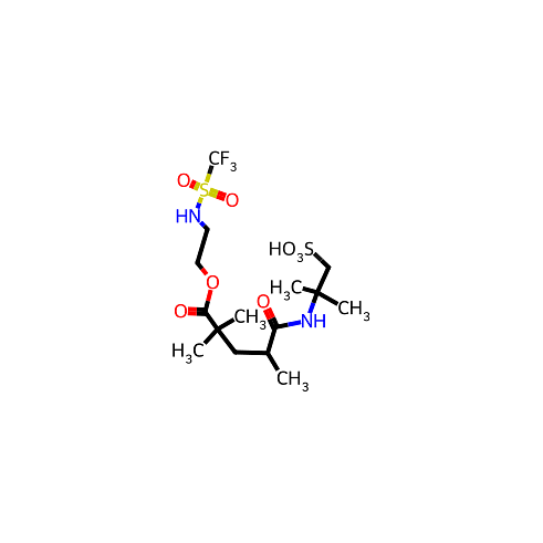 CC(CC(C)(C)C(=O)OCCNS(=O)(=O)C(F)(F)F)C(=O)NC(C)(C)CS(=O)(=O)O